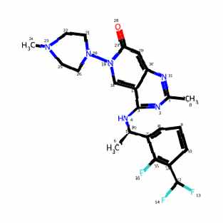 Cc1nc(N[C@H](C)c2cccc(C(F)F)c2F)c2cn(N3CCN(C)CC3)c(=O)cc2n1